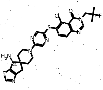 CC(C)(F)Cn1cnc2ccc(Sc3cnc(N4CCC5(CC4)Cc4ncsc4[C@H]5N)cn3)c(Cl)c2c1=O